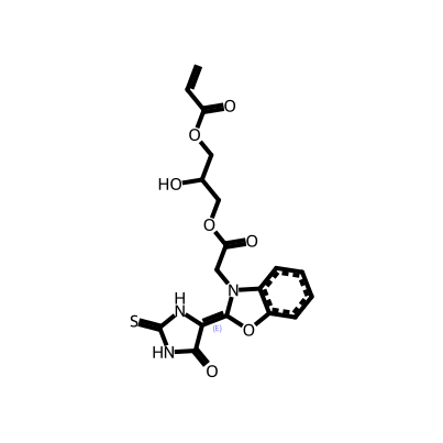 C=CC(=O)OCC(O)COC(=O)CN1/C(=C2\NC(=S)NC2=O)Oc2ccccc21